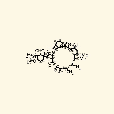 CCC1/C=C(\C)CC(C)CC(OC)C2OC(O)(C(=O)C(=O)N3CCCCC3C(=O)OC(C(C)=CC3(CC=O)CC[C@H](O[Si](CC)(CC)CC)C(OC)C3)C(C)C(O)CC1=O)C(C)CC2OC